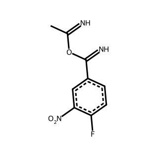 CC(=N)OC(=N)c1ccc(F)c([N+](=O)[O-])c1